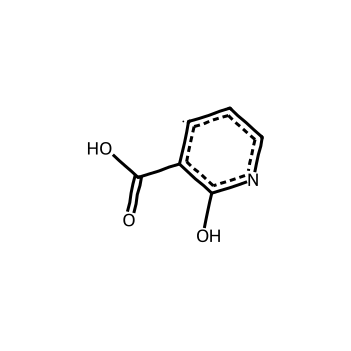 O=C(O)c1[c]ccnc1O